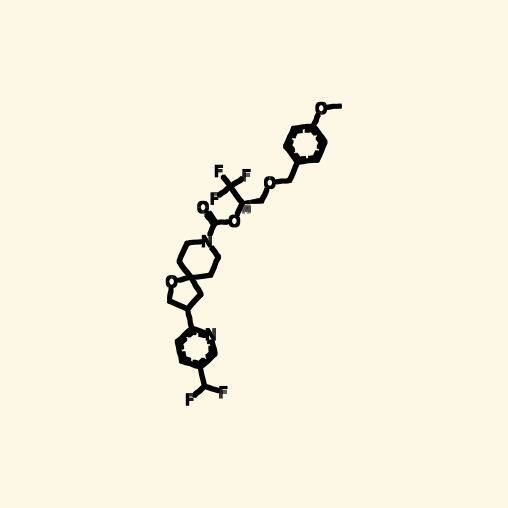 COc1ccc(COC[C@@H](OC(=O)N2CCC3(CC2)CC(c2ccc(C(F)F)cn2)CO3)C(F)(F)F)cc1